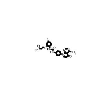 CCN(CC)CCOc1cc(F)ccc1NC(=O)Nc1ccc(-n2ccc(=O)c3c(N)ncnc32)cc1